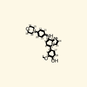 COc1cc(-c2ccc(Nc3ccc(N4CCOCC4)cc3)c3nccn23)ccc1O